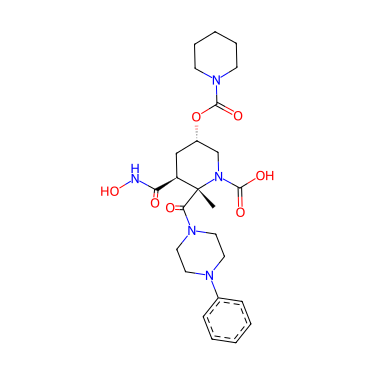 C[C@@]1(C(=O)N2CCN(c3ccccc3)CC2)[C@@H](C(=O)NO)C[C@H](OC(=O)N2CCCCC2)CN1C(=O)O